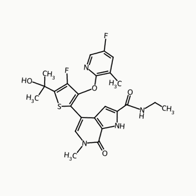 CCNC(=O)c1cc2c(-c3sc(C(C)(C)O)c(F)c3Oc3ncc(F)cc3C)cn(C)c(=O)c2[nH]1